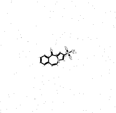 O=c1c2ccccc2ccn2cc(S(=O)(=O)C(F)(F)F)cc12